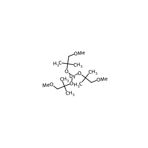 COCC(C)(C)[O][Dy]([O]C(C)(C)COC)[O]C(C)(C)COC